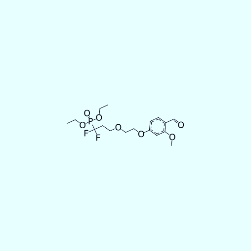 CCOP(=O)(OCC)C(F)(F)CCOCCOc1ccc(C=O)c(OC)c1